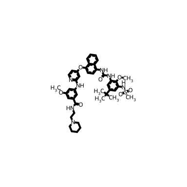 COc1cc(Nc2cc(Oc3ccc(NC(=O)Nc4cc(C(C)(C)C)cc(NS(C)(=O)=O)c4OC)c4ccccc34)ccn2)cc(C(=O)NCCN2CCCCC2)c1